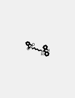 O=C1c2ccccc2C(=O)N1CCCCCCNc1c2ccccc2nc2ccccc12